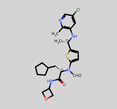 Cc1ncc(Cl)cc1N[C@@H](C)c1ccc(N(C=O)[C@@H](CC2CCCC2)C(=O)NC2COC2)s1